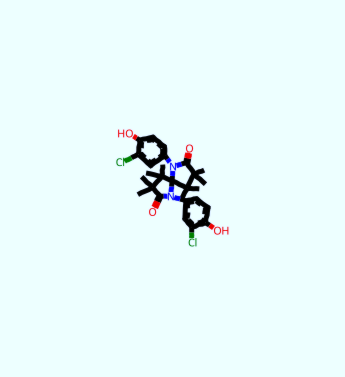 CC1(C)C(=O)N(c2ccc(O)c(Cl)c2)C2(N(c3ccc(O)c(Cl)c3)C(=O)C(C)(C)C2(C)C)C1(C)C